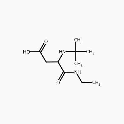 CCNC(=O)C(CC(=O)O)NC(C)(C)C